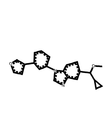 COC(c1ccc2c(c1)ncn2-c1cccc(-c2ccoc2)c1)C1CC1